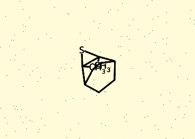 CC12SC1(C)C1CCC2CC1